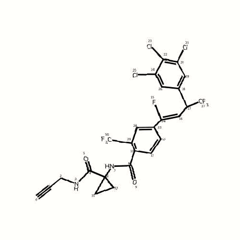 C#CCNC(=O)C1(NC(=O)c2ccc(C(F)=CC(c3cc(Cl)c(Cl)c(Cl)c3)C(F)(F)F)cc2C(F)(F)F)CC1